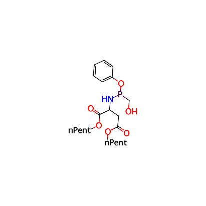 CCCCCOC(=O)CC(NP(CO)Oc1ccccc1)C(=O)OCCCCC